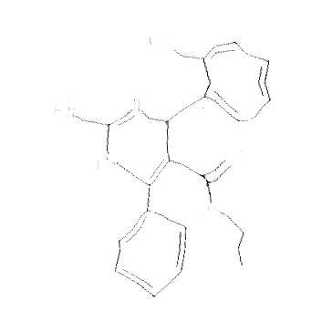 CCOC(=O)C1=C(c2ccccc2)NC(N)=NC1c1ccccc1O